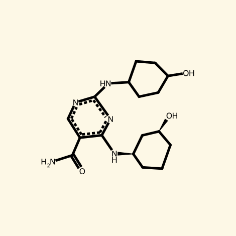 NC(=O)c1cnc(NC2CCC(O)CC2)nc1N[C@@H]1CCC[C@H](O)C1